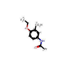 CC(C)C(=O)Nc1ccc(OCC(F)(F)F)c(C(=O)O)c1